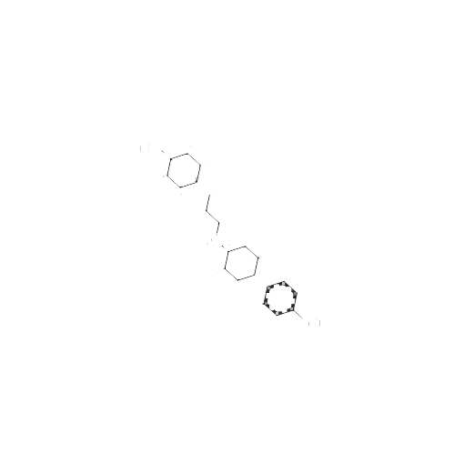 CCCc1ccc([C@H]2CC[C@H](OCCC[C@H]3CC[C@H](CCC)CC3)CC2)cc1